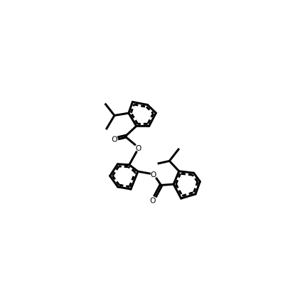 CC(C)c1ccccc1C(=O)Oc1ccccc1OC(=O)c1ccccc1C(C)C